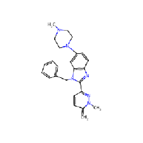 C=C1C=CC(c2nc3ccc(N4CCN(C)CC4)cc3n2Cc2ccccc2)=NN1C